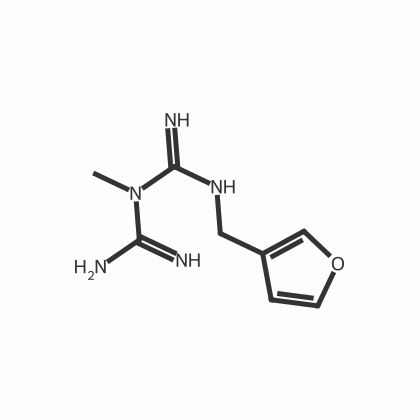 CN(C(=N)N)C(=N)NCc1ccoc1